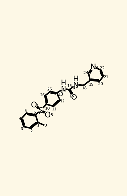 Cc1ccccc1S(=O)(=O)c1ccc(NC(=O)NCc2cccnc2)cc1